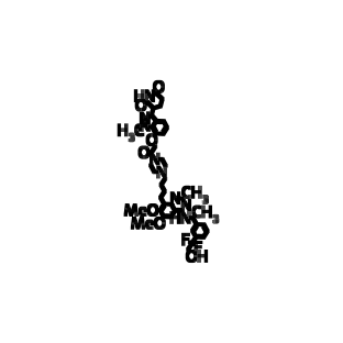 COc1cc2c(N[C@H](C)c3cccc(C(F)(F)CO)c3)nc(C)nc2c(CCCCN2CCN(C(=O)COc3cccc4c(C5CCC(=O)NC5=O)nn(C)c34)CC2)c1OC